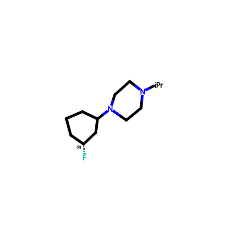 CC(C)N1CCN(C2CCC[C@@H](F)C2)CC1